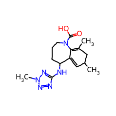 CC1=C2C(=CC(C)C1)C(Nc1nnn(C)n1)CCCN2C(=O)O